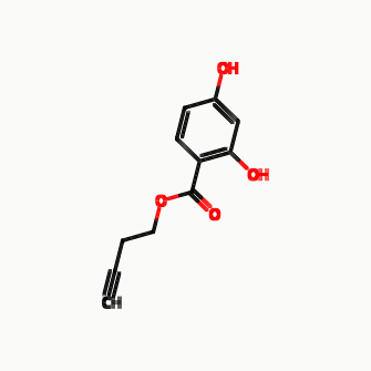 C#CCCOC(=O)c1ccc(O)cc1O